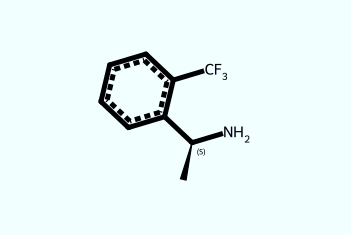 C[C@H](N)c1ccccc1C(F)(F)F